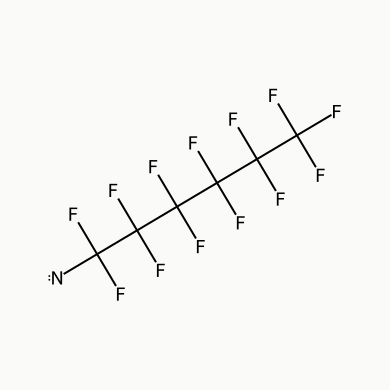 [N]C(F)(F)C(F)(F)C(F)(F)C(F)(F)C(F)(F)C(F)(F)F